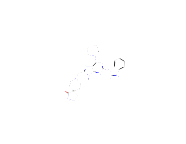 Cc1nc2ccccc2n1-c1nc(N2CCOCC2)c2nc(CN3CCC4(CCNC4=O)CC3)n(C)c2n1